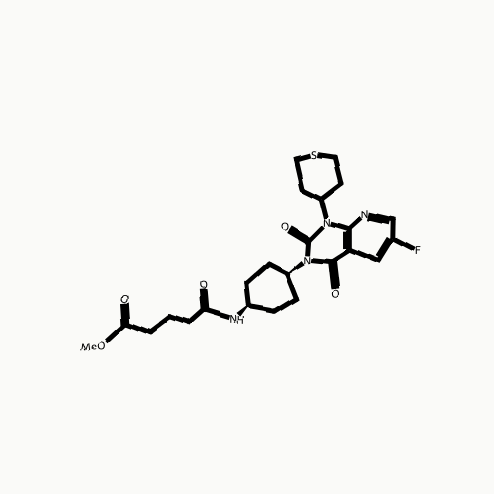 COC(=O)CCCC(=O)N[C@H]1CC[C@@H](n2c(=O)c3cc(F)cnc3n(C3CCSCC3)c2=O)CC1